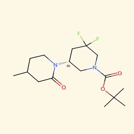 CC1CCN([C@H]2CN(C(=O)OC(C)(C)C)CC(F)(F)C2)C(=O)C1